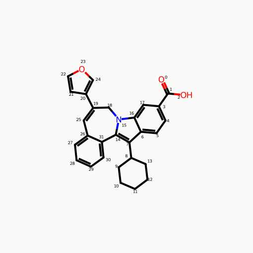 O=C(O)c1ccc2c(C3CCCCC3)c3n(c2c1)CC(c1ccoc1)=Cc1ccccc1-3